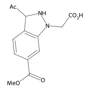 COC(=O)c1ccc2c(c1)N(CC(=O)O)NC2C(C)=O